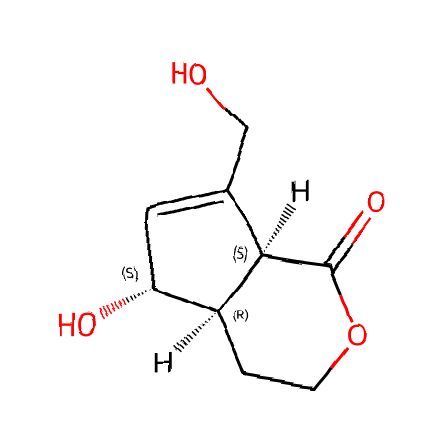 O=C1OCC[C@@H]2[C@H]1C(CO)=C[C@H]2O